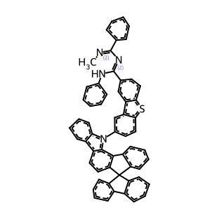 C/N=C(\N=C(/Nc1ccccc1)c1ccc2sc3ccc(-n4c5ccccc5c5ccc6c(c54)-c4ccccc4C64c5ccccc5-c5ccccc54)cc3c2c1)c1ccccc1